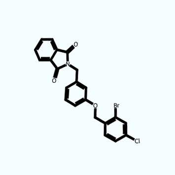 O=C1c2ccccc2C(=O)N1Cc1cccc(OCc2ccc(Cl)cc2Br)c1